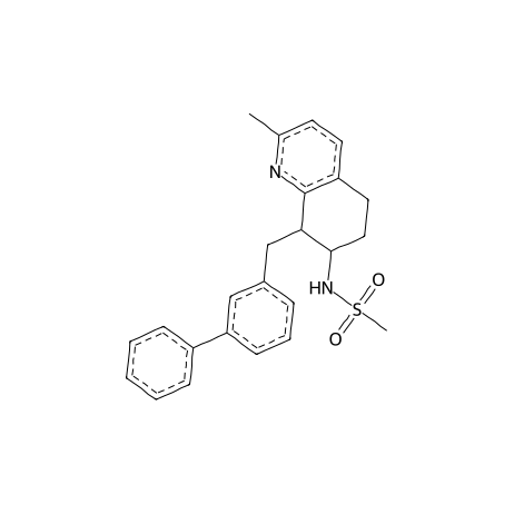 Cc1ccc2c(n1)C(Cc1cccc(-c3ccccc3)c1)C(NS(C)(=O)=O)CC2